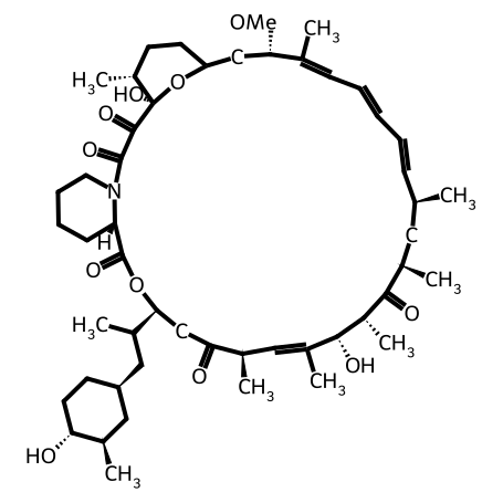 CO[C@H]1CC2CC[C@@H](C)[C@@](O)(O2)C(=O)C(=O)N2CCCC[C@H]2C(=O)O[C@H](C(C)C[C@@H]2CC[C@@H](O)[C@H](C)C2)CC(=O)[C@H](C)/C=C(\C)[C@@H](O)[C@@H](C)C(=O)[C@H](C)C[C@H](C)/C=C/C=C/C=C/1C